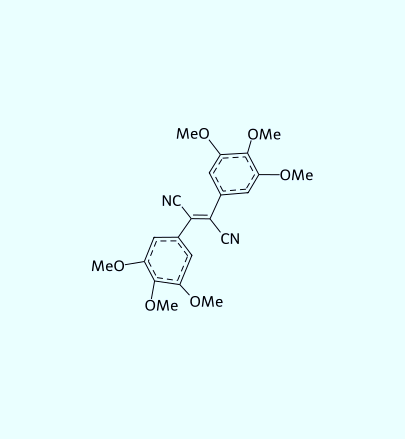 COc1cc(/C(C#N)=C(\C#N)c2cc(OC)c(OC)c(OC)c2)cc(OC)c1OC